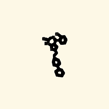 O=C1CN=C(c2ccccc2Cl)c2cc(CCc3ccc(-c4ccccc4)cc3)sc2N1